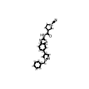 N#CN1CCC(C(=O)Nc2nc3ccc(-c4cnn(Cc5ccccc5)c4)cc3s2)C1